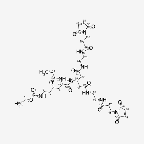 CCOC(=O)NCCCCC(NC(=O)CC)C(=O)NC(CC(=O)NCCNC(=O)CCN1C(=O)C=CC1=O)CC(=O)NCCNC(=O)CCN1C(=O)C=CC1=O